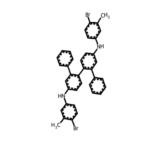 Cc1cc(Nc2ccc(-c3ccc(Nc4ccc(Br)c(C)c4)cc3-c3ccccc3)c(-c3ccccc3)c2)ccc1Br